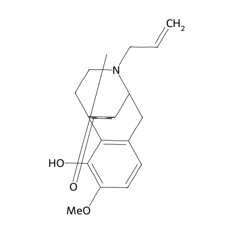 C=CCN1CCC23CC(=O)CCC2C1Cc1ccc(OC)c(O)c13